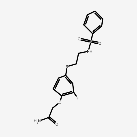 NC(=O)COc1ccc(SCCNS(=O)(=O)c2ccccc2)cc1F